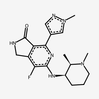 C[C@@H]1[C@H](Nc2nc(-c3cnn(C)c3)c3c(c2F)CNC3=O)CCCN1C